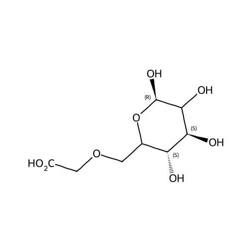 O=C(O)COCC1O[C@@H](O)C(O)[C@@H](O)[C@@H]1O